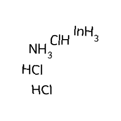 Cl.Cl.Cl.N.[InH3]